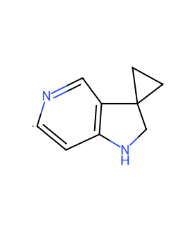 [c]1cc2c(cn1)C1(CC1)CN2